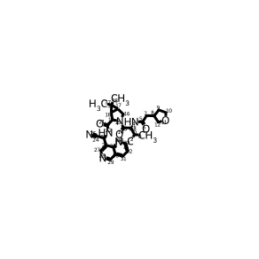 CC(C)[C@H](NC(=O)CC1CCOC1)C(=O)N1CC2C(C1C(=O)NC(C#N)c1cncc3cccnc13)C2(C)C